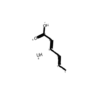 C/C=C/C=C/C(=O)O.[LiH]